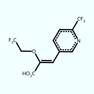 O=C(O)C(=Cc1ccc(C(F)(F)F)nc1)OCC(F)(F)F